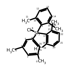 Cc1cc(C)cc([Si](Cl)(c2c(C)cccc2C)c2c(C)cccc2C)c1